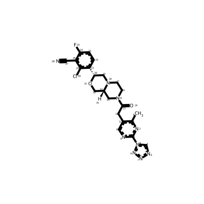 Cc1nc(-n2cnnn2)ncc1CC(=O)N1CCN2C[C@@H](c3ccc(F)c(C#N)c3Cl)OC[C@H]2C1